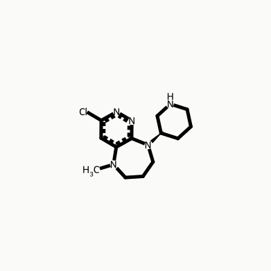 CN1CCCN([C@@H]2CCCNC2)c2nnc(Cl)cc21